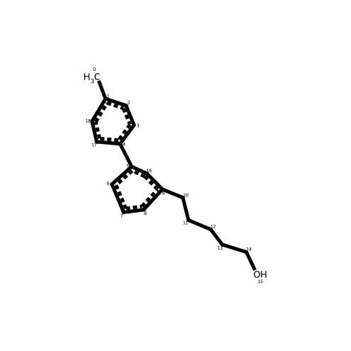 Cc1ccc(-c2cccc(CCCCCO)c2)cc1